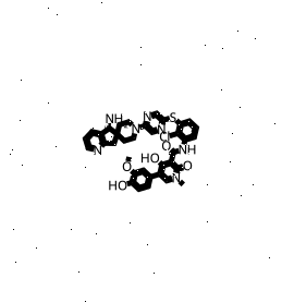 COc1cc(-c2cn(C)c(=O)c(C(=O)Nc3cccc(Sc4cnc(N5CCC6(CC5)Cc5ncccc5[C@H]6N)cn4)c3Cl)c2O)ccc1O